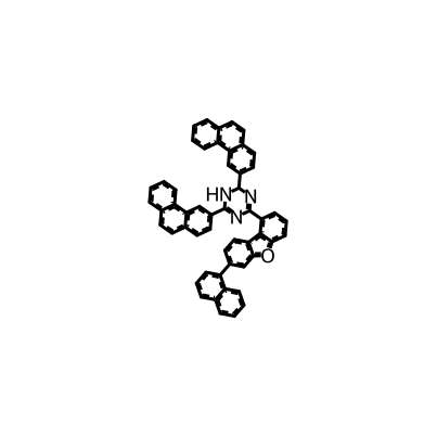 c1ccc2c(-c3ccc4c(c3)oc3cccc(C5=NC(c6ccc7ccc8ccccc8c7c6)NC(c6ccc7ccc8ccccc8c7c6)=N5)c34)cccc2c1